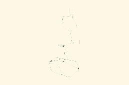 O=C(NC1CCNC1)C12CC3CC(CC(C3)C1)C2